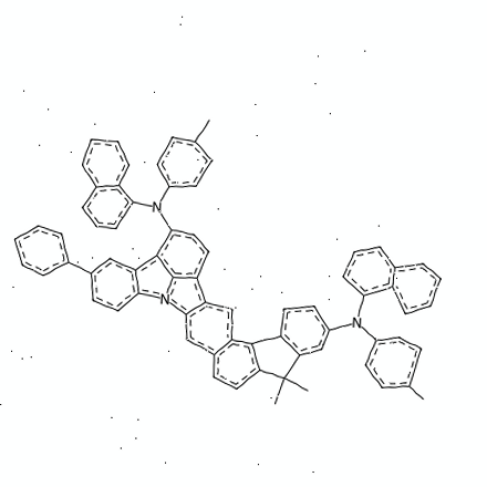 Cc1ccc(N(c2ccc3c(c2)C(C)(C)c2ccc4cc5c(cc4c2-3)c2ccc(N(c3ccc(C)cc3)c3cccc4ccccc34)c3c4cc(-c6ccccc6)ccc4n5c23)c2cccc3ccccc23)cc1